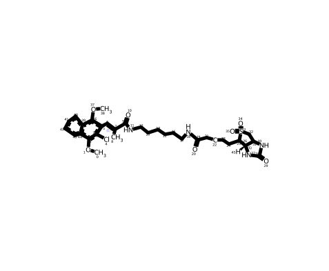 COc1c(Cl)c(/C=C(\C)C(=O)NCCCCCCNC(=O)CCCCC2[C@H]3NC(=O)NC3CS2(=O)=O)c(OC)c2ccccc12